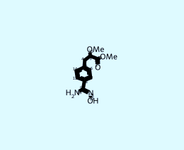 COC(=O)C(Cc1ccc(C(N)=NO)cc1)OC